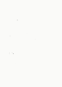 CC(C)NCc1ccccc1COC(C)C